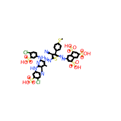 CSc1ccc(-c2c(N=Nc3cc(S(=O)(=O)O)c4cc(S(=O)(=O)O)cc(S(=O)(=O)O)c4c3)sc(N=Nc3c(Nc4ccc(Cl)c(S(=O)(=O)O)c4)nc(Nc4ccc(Cl)c(S(=O)(=O)O)c4)c(C#N)c3C)c2C#N)cc1